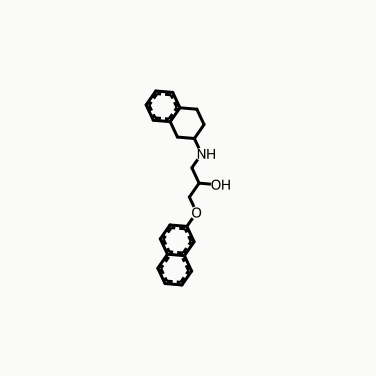 OC(CNC1CCc2ccccc2C1)COc1ccc2ccccc2c1